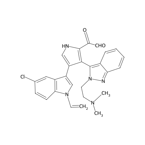 C=Cn1cc(-c2c[nH]c(C(=O)C=O)c2-c2c3ccccc3nn2CCN(C)C)c2cc(Cl)ccc21